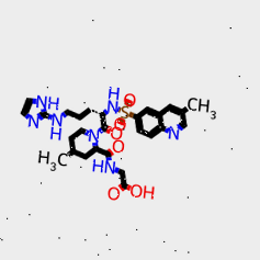 Cc1cnc2ccc(S(=O)(=O)N[C@@H](CCCNc3ncc[nH]3)C(=O)N3CCC(C)CC3C(=O)NCC(=O)O)cc2c1